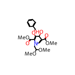 COC(=O)C1=CN(CC(OC)OC)C(C(=O)OC)=C(OCc2ccccc2)C1O